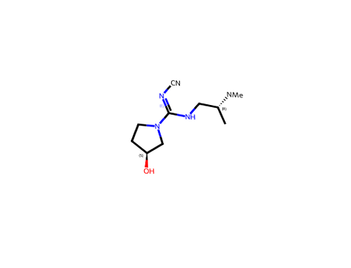 CN[C@H](C)CN/C(=N\C#N)N1CC[C@H](O)C1